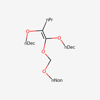 CCCCCCCCCCOC(CCC)=C(OCCCCCCCCCC)OCOCCCCCCCCC